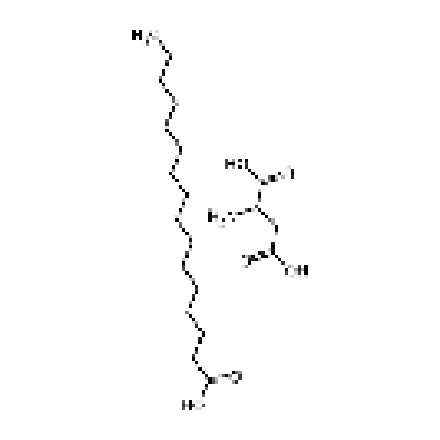 CCCCCCCCCCCCCCCC(=O)O.NC(CC(=O)O)C(=O)O